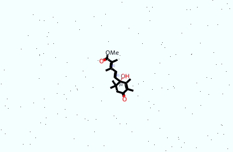 COC(=O)/C(C)=C(C)/C=C/[C@@]1(O)C(C)=C(C)C(=O)CC1(C)C